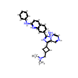 CN(C)CC1CC(C2=C3C=NC=C[N+]3(N)C(c3ccc4ccc(Nc5ccccc5)nc4c3)=N2)C1